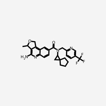 CC1OCc2c1c(N)nc1ccc(C(=O)N(Cc3ccc(C(F)(F)F)cn3)C3CC34CCCC4)cc21